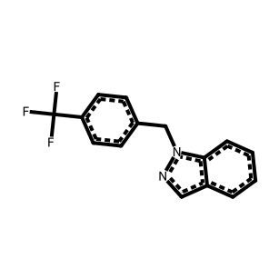 FC(F)(F)c1ccc(Cn2ncc3ccccc32)cc1